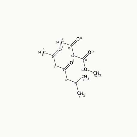 CC(=O)CC(=O)CC(C)C.COC(=O)CC(C)=O